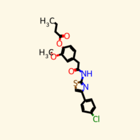 CCCC(=O)Oc1ccc(CC(=O)Nc2nc(-c3ccc(Cl)cc3)cs2)cc1OC